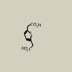 O=C(O)Cc1ccc(CC(=O)O)s1